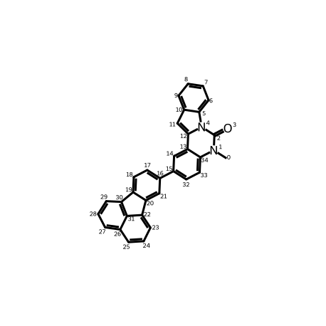 Cn1c(=O)n2c3ccccc3cc2c2cc(-c3ccc4c(c3)-c3cccc5cccc-4c35)ccc21